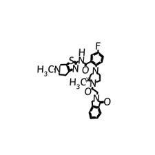 C[C@H]1CN(c2ccc(F)cc2C(=O)Nc2nc3c(s2)CN(C)CC3)CCN1C(=O)CN1Cc2ccccc2C1=O